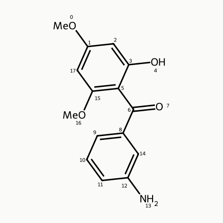 COc1cc(O)c(C(=O)c2cccc(N)c2)c(OC)c1